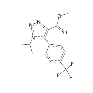 COC(=O)c1nnn(C(C)C)c1-c1ccc(C(F)(F)F)cc1